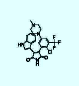 CN1CCN(c2cc(C3=C(c4c[nH]c5ccccc45)C(=O)NC3=O)c(Cl)c(C(F)(F)F)c2)CC1